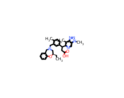 CC[C@@H]1CN(Cc2cc(C(CC(=O)O)c3ncc4c(nnn4C)c3C)ccc2C)Cc2ccccc2O1